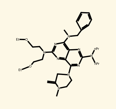 C=C1CN(c2nc(N(CCC)CCC)nc3c(N(C)Cc4ccccc4)nc(N(CCOCC)CCOCC)nc23)CCN1C